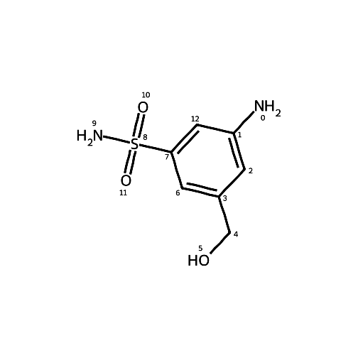 Nc1cc(CO)cc(S(N)(=O)=O)c1